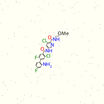 COCCNC(=O)c1ncc(NC(=O)c2cc(F)c(-c3ccc(F)cc3N)cc2Cl)cc1Cl